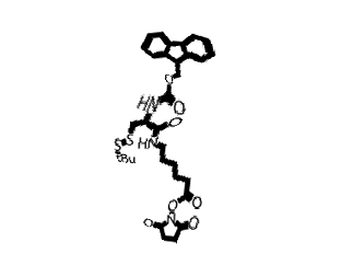 CC(C)(C)SSCC(NC(=O)OCC1c2ccccc2-c2ccccc21)C(=O)NCCCCCC(=O)ON1C(=O)CCC1=O